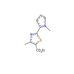 CCOC(=O)c1sc(-c2cccn2C)nc1C